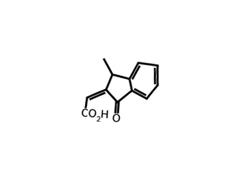 CC1C(=CC(=O)O)C(=O)c2ccccc21